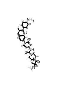 CCN(C(C)Cc1ccc(-n2ccc(NC(=O)N3CCN(C(=O)C(C)(C)N)CC3)nc2=O)cc1)[C@H]1CC[C@@H](N)CC1